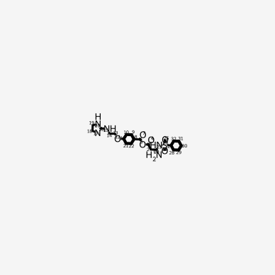 N[C@H](CC(=O)OC(=O)c1ccc(OCCNC2=NCCN2)cc1)NS(=O)(=O)c1ccccc1